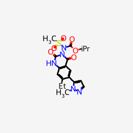 CCc1cc2[nH]c(=O)n(N(C(=O)OC(C)C)S(C)(=O)=O)c(=O)c2cc1-c1ccnn1C